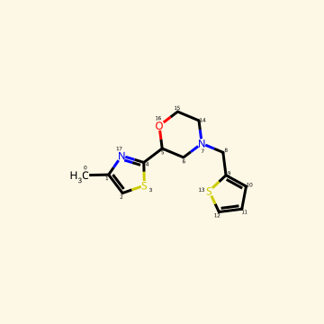 Cc1csc(C2CN(Cc3cccs3)CCO2)n1